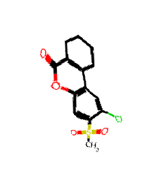 CS(=O)(=O)c1cc2oc(=O)c3c(c2cc1Cl)CCCC3